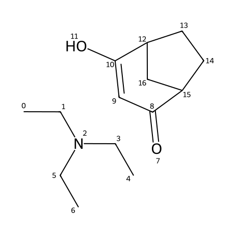 CCN(CC)CC.O=C1C=C(O)C2CCC1C2